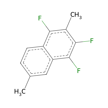 Cc1ccc2c(F)c(C)c(F)c(F)c2c1